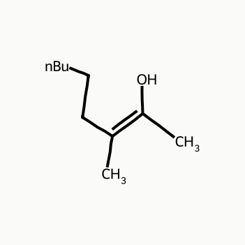 CCCCCCC(C)=C(C)O